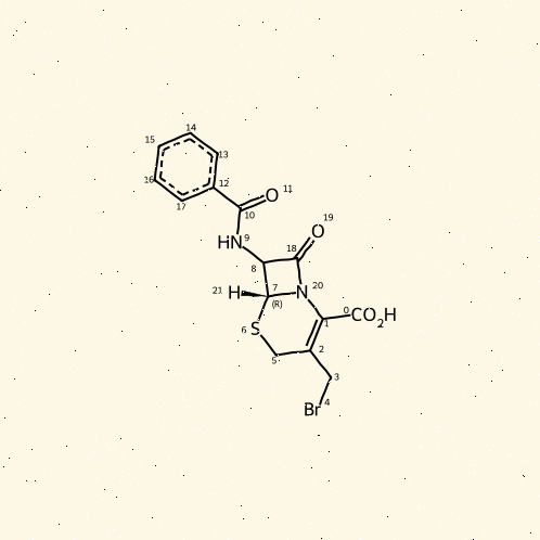 O=C(O)C1=C(CBr)CS[C@@H]2C(NC(=O)c3ccccc3)C(=O)N12